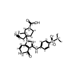 CN(C)S(=O)(=O)c1ccc(Nc2nn(C3(CC#N)CCN(C(=O)O)CC3F)c3cc[nH]c(=O)c23)cc1